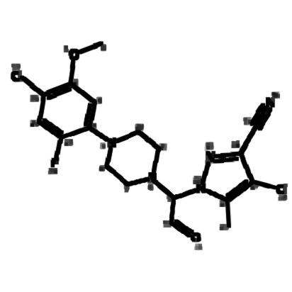 COc1cc(N2CCN(C(C=O)n3nc(C#N)c(Cl)c3C)CC2)c(F)cc1Cl